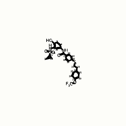 O=C(Nc1ccc(O)c(NS(=O)(=O)C2CC2)c1)c1ccc(SCCc2ccc(OC(F)(F)F)cc2)cc1